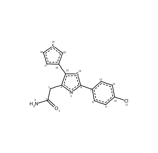 NC(=O)Cc1nc(-c2ccc(Cl)cc2)sc1-c1ccsc1